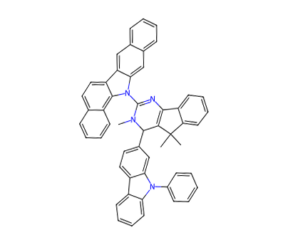 CN1C(n2c3cc4ccccc4cc3c3ccc4ccccc4c32)=NC2=C(C1c1ccc3c4ccccc4n(-c4ccccc4)c3c1)C(C)(C)c1ccccc12